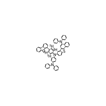 [2H]c1c([2H])c(N(c2ccc(N(c3ccccc3)c3ccccc3)cc2)c2ccc3sc4c5ccccc5c(N(c5ccccc5)c5ccccc5)cc4c3c2)c([2H])c([2H])c1-c1cccc2c1oc1ccccc12